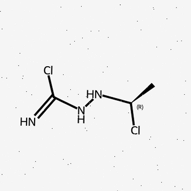 C[C@@H](Cl)NNC(=N)Cl